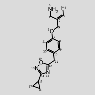 NC/C(=C\F)COc1ccc(Cc2nc(C3CC3)no2)cc1